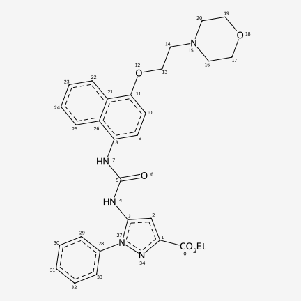 CCOC(=O)c1cc(NC(=O)Nc2ccc(OCCN3CCOCC3)c3ccccc23)n(-c2ccccc2)n1